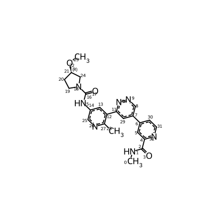 CNC(=O)c1cc(-c2cnnc(-c3cc(NC(=O)N4CC[C@@H](OC)C4)cnc3C)c2)ccn1